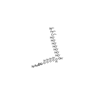 [Cr+3].[Cr+3].[Fe+2].[Fe+2].[Ni+2].[Ni+2].[OH-].[OH-].[OH-].[OH-].[OH-].[OH-].[OH-].[OH-].[OH-].[OH-].[OH-].[OH-].[OH-].[OH-]